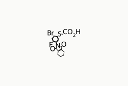 O=C(O)CSc1cc(N2C(=O)C3=C(CCCC3)C2=O)c(F)cc1Br